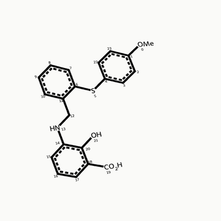 COc1ccc(Sc2ccccc2CNc2cccc(C(=O)O)c2O)cc1